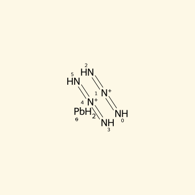 N=[N+]=N.N=[N+]=N.[PbH2]